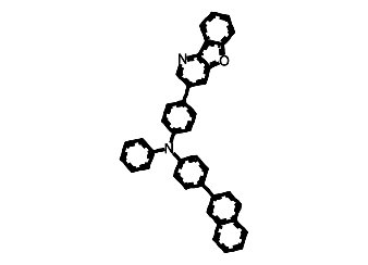 c1ccc(N(c2ccc(-c3ccc4ccccc4c3)cc2)c2ccc(-c3cnc4c(c3)oc3ccccc34)cc2)cc1